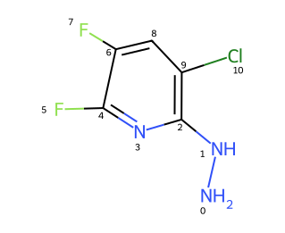 NNc1nc(F)c(F)cc1Cl